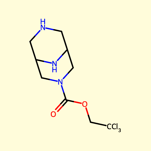 O=C(OCC(Cl)(Cl)Cl)N1CC2CNCC(C1)N2